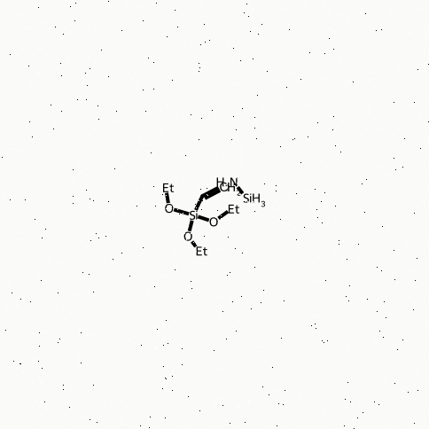 C=C[Si](OCC)(OCC)OCC.N[SiH3]